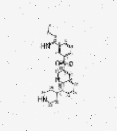 CCCC(=N)c1cccc(S(=O)(=O)c2cnc3c(C4CCNCC4)cccc3c2)c1